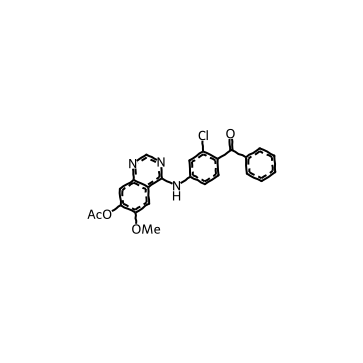 COc1cc2c(Nc3ccc(C(=O)c4ccccc4)c(Cl)c3)ncnc2cc1OC(C)=O